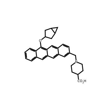 O=C(O)C1CCN(Cc2ccc3cc4c(OC5CC6CC6C5)c5ccccc5cc4cc3c2)CC1